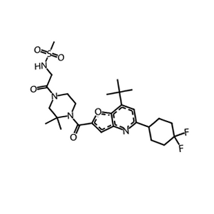 CC(C)(C)c1cc(C2CCC(F)(F)CC2)nc2cc(C(=O)N3CCN(C(=O)CNS(C)(=O)=O)CC3(C)C)oc12